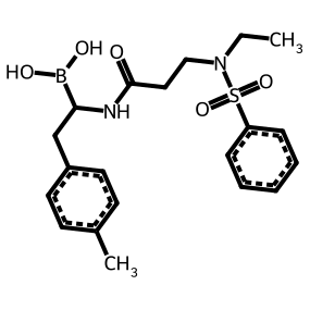 CCN(CCC(=O)NC(Cc1ccc(C)cc1)B(O)O)S(=O)(=O)c1ccccc1